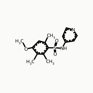 COc1cc(C)c(S(=O)(=O)Nc2ccncc2)c(C)c1C